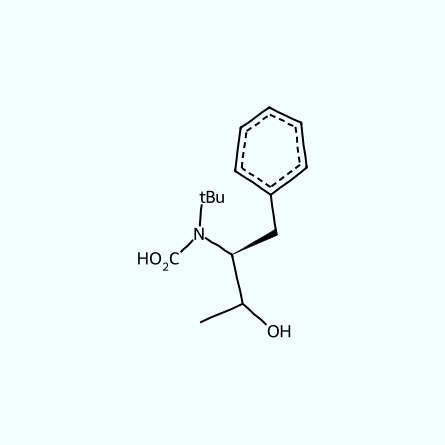 CC(O)[C@H](Cc1ccccc1)N(C(=O)O)C(C)(C)C